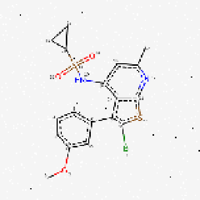 COc1cccc(-c2c(Br)sc3nc(C)cc(NS(=O)(=O)C4CC4)c23)c1